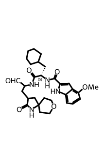 COc1cccc2[nH]c(C(=O)N[C@@H](CC3CCCCC3)C(=O)NC(C=O)CC3CC4(CCOCC4)NC3=O)cc12